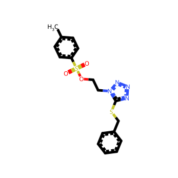 Cc1ccc(S(=O)(=O)OCCn2nnnc2SCc2ccccc2)cc1